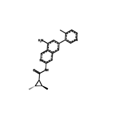 Cc1ccncc1-c1cc(N)c2cnc(NC(=O)C3[C@@H](C)[C@@H]3C)cc2c1